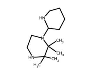 CC1(C)NCCN(C2CCCCN2)C1(C)C